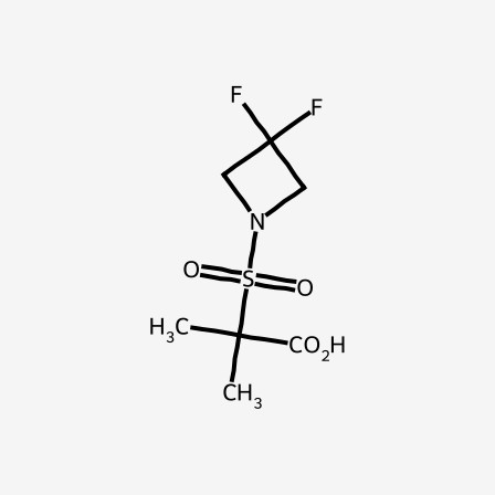 CC(C)(C(=O)O)S(=O)(=O)N1CC(F)(F)C1